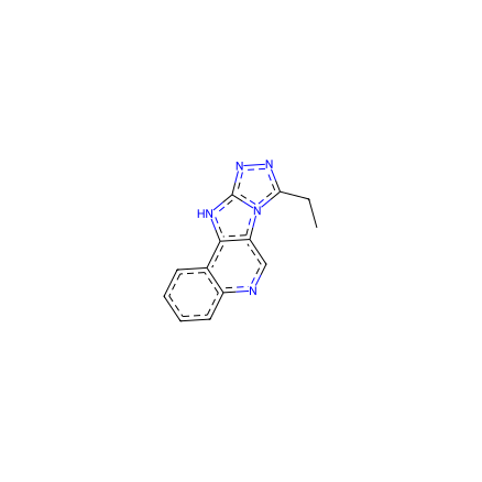 CCc1nnc2[nH]c3c4ccccc4ncc3n12